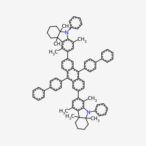 Cc1cc(-c2ccc3c(-c4ccc(-c5ccccc5)cc4)c4cc(-c5cc(C)c6c(c5C)N(c5ccccc5)C5(C)CCCCC65C)ccc4c(-c4ccc(-c5ccccc5)cc4)c3c2)c(C)c2c1N(c1ccccc1)C1(C)CCCCC21C